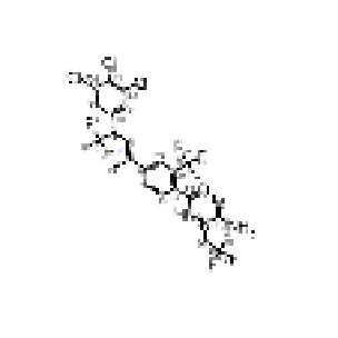 CC(F)(F)C(/C=C(\F)c1ccc(C(=O)NN(CC(F)(F)F)C(N)=O)c(C(F)(F)F)c1)c1cc(Cl)c(Cl)c(Cl)c1